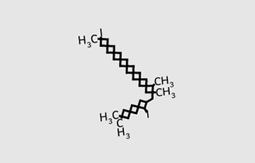 CC1C(C)(CC2CC3(CC4(CC(C)(C)C4)C3)C2I)CC12CC1(CC3(CC4(CC5(CC6(CC7(CC(C)(I)C7)C6)C5)C4)C3)C1)C2